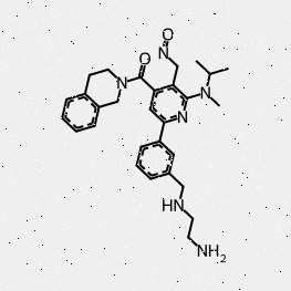 CC(C)N(C)c1nc(-c2cccc(CNCCN)c2)cc(C(=O)N2CCc3ccccc3C2)c1CN=O